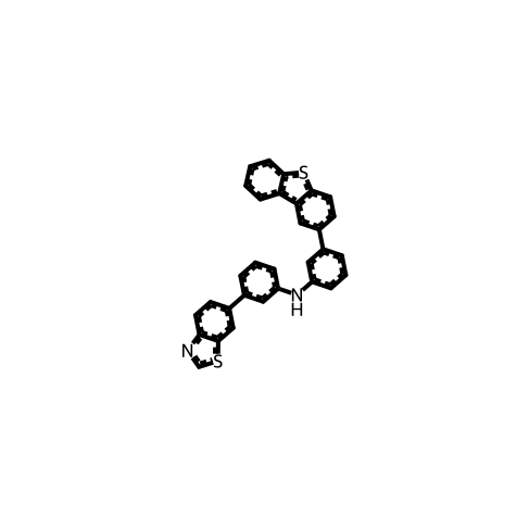 c1cc(Nc2cccc(-c3ccc4sc5ccccc5c4c3)c2)cc(-c2ccc3ncsc3c2)c1